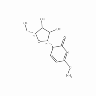 NOc1ccn([C@@H]2O[C@H](CO)C(O)C2O)c(=O)n1